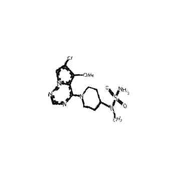 COc1c(Cl)cn2ncnc(N3CCC(N(C)S(N)(=O)=O)CC3)c12